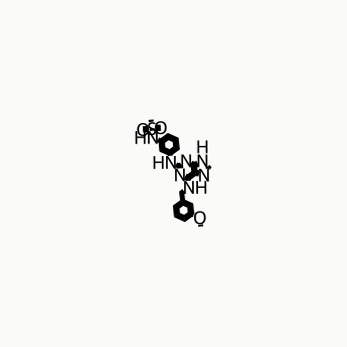 COc1cccc(CNc2nc(Nc3cccc(NS(C)(=O)=O)c3)nc3[nH]cnc23)c1